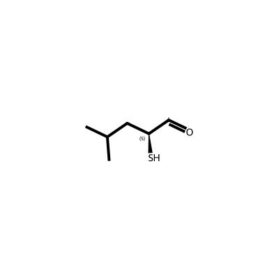 CC(C)C[C@H](S)[C]=O